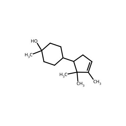 CC1=CCC(C2CCC(C)(O)CC2)C1(C)C